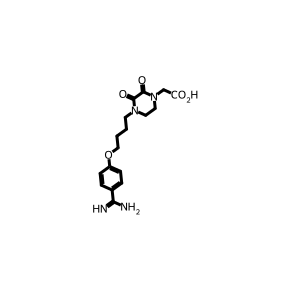 N=C(N)c1ccc(OCCCCN2CCN(CC(=O)O)C(=O)C2=O)cc1